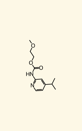 COCCOC(=O)Nc1cc(C(C)C)ccn1